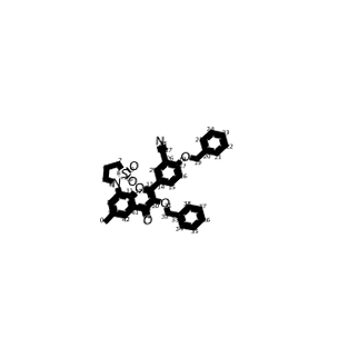 Cc1cc(N2CCCS2(=O)=O)c2oc(-c3ccc(OCc4ccccc4)c(C#N)c3)c(OCc3ccccc3)c(=O)c2c1